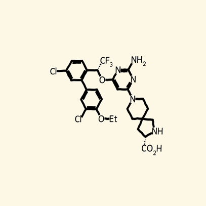 CCOc1ccc(-c2cc(Cl)ccc2[C@@H](Oc2cc(N3CCC4(CC3)CN[C@H](C(=O)O)C4)nc(N)n2)C(F)(F)F)cc1Cl